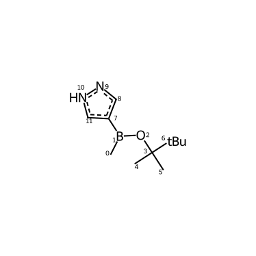 CB(OC(C)(C)C(C)(C)C)c1cn[nH]c1